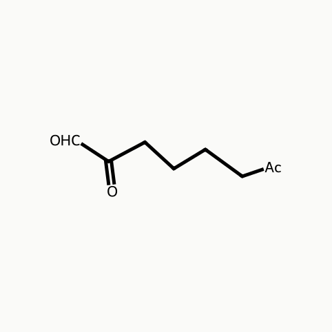 CC(=O)CCCCC(=O)C=O